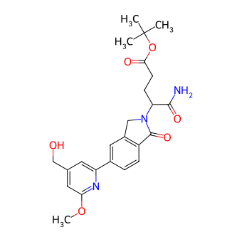 COc1cc(CO)cc(-c2ccc3c(c2)CN(C(CCC(=O)OC(C)(C)C)C(N)=O)C3=O)n1